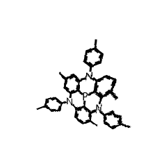 Cc1ccc(N2c3cc(C)cc4c3P3c5c2ccc(C)c5N(c2ccc(C)cc2)c2c(C)ccc(c23)N4c2ccc(C)cc2)cc1